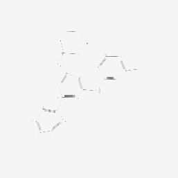 FC(F)(F)c1cc(Nc2cc(NC3CCOCC3)nc(-c3cccc(C(F)(F)F)n3)n2)ccn1